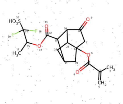 C=C(C)C(=O)OC12CC(=O)C3C(C(=O)OC(C)C(F)(F)S(=O)(=O)O)C(CC31)C2